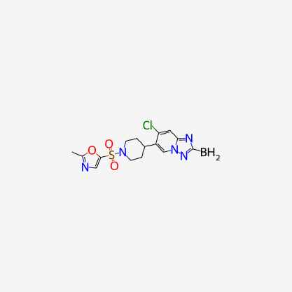 Bc1nc2cc(Cl)c(C3CCN(S(=O)(=O)c4cnc(C)o4)CC3)cn2n1